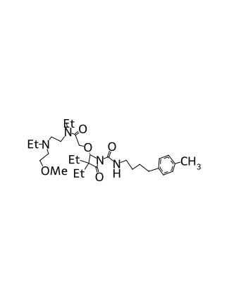 CCN(CCOC)CCN(CC)C(=O)CO[C@@H]1N(C(=O)NCCCCc2ccc(C)cc2)C(=O)C1(CC)CC